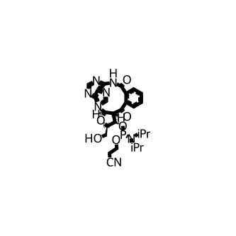 CC(C)N(C(C)C)P(OCCC#N)O[C@H]1[C@H]2C(=O)c3ccccc3C(=O)Nc3ncnc4c3ncn4[C@@H]2O[C@@H]1CO